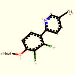 CCCCCCCOc1ccc(-c2ccc(C)cn2)c(F)c1F